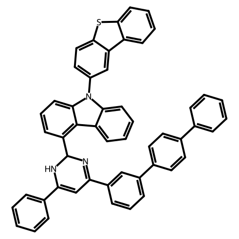 C1=C(c2ccccc2)NC(c2cccc3c2c2ccccc2n3-c2ccc3sc4ccccc4c3c2)N=C1c1cccc(-c2ccc(-c3ccccc3)cc2)c1